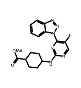 COC(=O)C1CCC(Nc2ncc(F)c(-n3nnc4ccccc43)n2)CC1